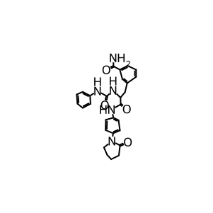 NC(=O)c1cccc(CC(NC(=O)Nc2ccccc2)C(=O)Nc2ccc(N3CCCCC3=O)cc2)c1